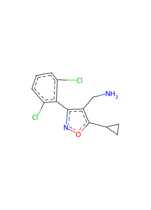 NCc1c(-c2c(Cl)cccc2Cl)noc1C1CC1